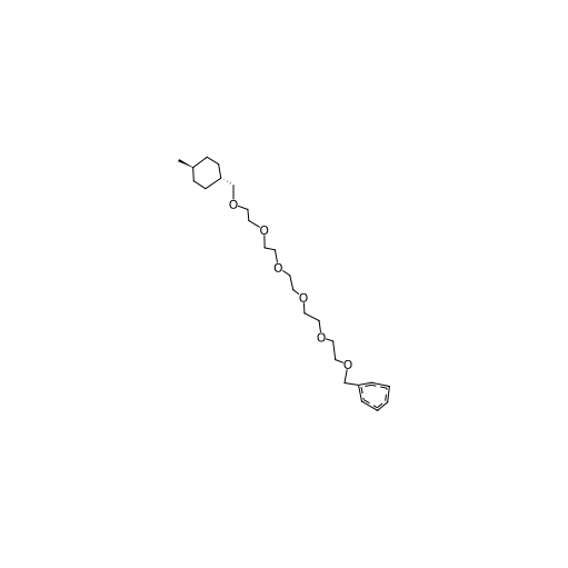 C[C@H]1CC[C@H](COCCOCCOCCOCCOCCOCc2ccccc2)CC1